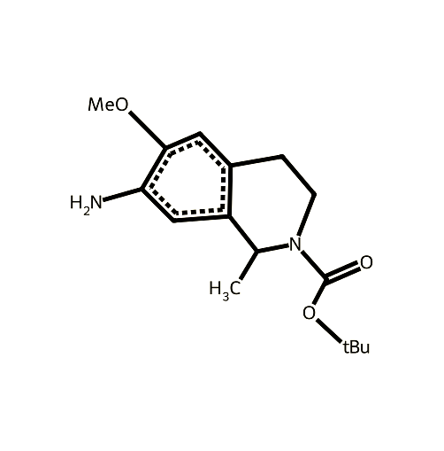 COc1cc2c(cc1N)C(C)N(C(=O)OC(C)(C)C)CC2